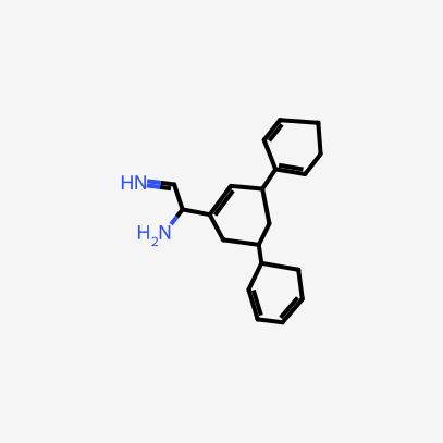 N=CC(N)C1=CC(C2=CCCC=C2)CC(C2C=CC=CC2)C1